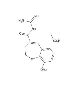 COc1cccc2c1OCCC(C(=O)NC(=N)N)=C2.CS(=O)(=O)O